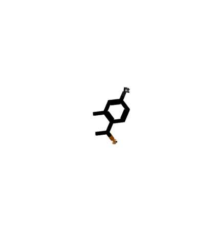 CCc1ccc(C(C)[S])c(C)c1